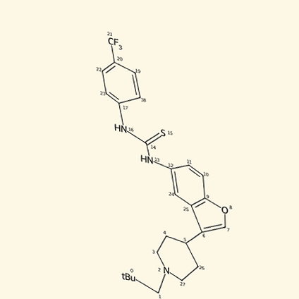 CC(C)(C)CN1CCC(c2coc3ccc(NC(=S)Nc4ccc(C(F)(F)F)cc4)cc23)CC1